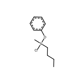 CCCC[Si](C)(Cl)Oc1ccccc1